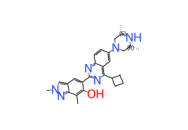 Cc1c(O)c(-c2nc(C3CCC3)c3cc(N4C[C@@H](C)N[C@@H](C)C4)ccc3n2)cc2cn(C)nc12